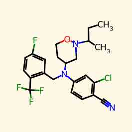 CCC(C)N1C[C@@H](N(Cc2cc(F)ccc2C(F)(F)F)c2ccc(C#N)c(Cl)c2)CCO1